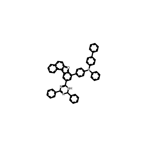 c1ccc(C2=NC(c3ccccc3)NC(c3cc(-c4ccc(N(c5ccccc5)c5ccc(-c6ccccc6)cc5)cc4)c4oc5ccc6ccccc6c5c4c3)=N2)cc1